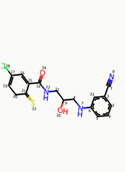 N#Cc1cccc(NCC(O)CNC(=O)C2=CC(Cl)=CCC2=S)c1